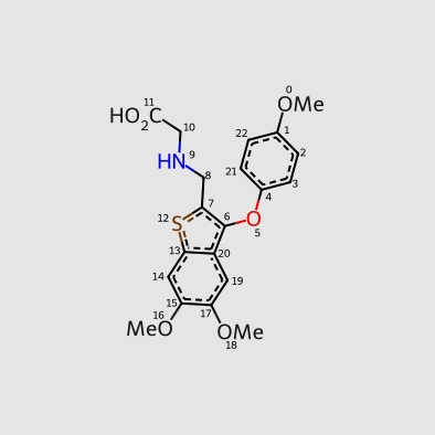 COc1ccc(Oc2c(CNCC(=O)O)sc3cc(OC)c(OC)cc23)cc1